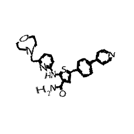 NC(=O)c1cc(-c2ccc(-c3ccncc3)cc2)sc1Nc1cccc(CN2CCOCC2)n1